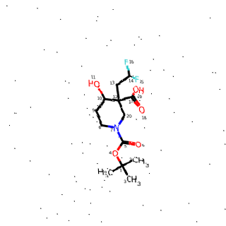 CC(C)(C)OC(=O)N1CCC(O)C(CC(F)F)(C(=O)O)C1